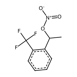 CC(O[N+](=O)[O-])c1ccccc1C(F)(F)F